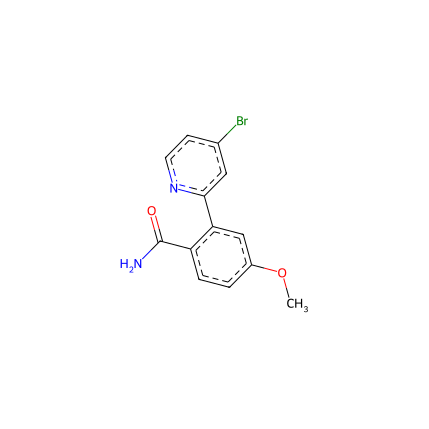 COc1ccc(C(N)=O)c(-c2cc(Br)ccn2)c1